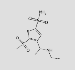 CCNC(C)c1cc(S(N)(=O)=O)sc1S(C)(=O)=O